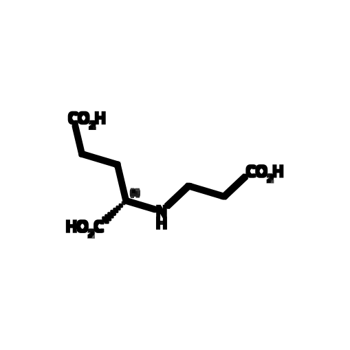 O=C(O)CCN[C@@H](CCC(=O)O)C(=O)O